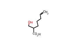 C=CCCCC(CO)C(=O)O